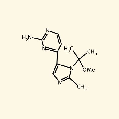 COC(C)(C)n1c(-c2ccnc(N)n2)cnc1C